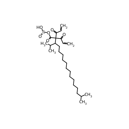 C=CC(=O)C(C(=O)C=C)(C(=O)[O][Ti](=[O])[OH])C(CCCCCCCCCCCCC(C)C)C(C)C